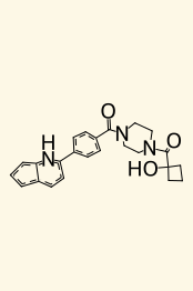 O=C(c1ccc(-c2ccc3cccc-3[nH]2)cc1)N1CCN(C(=O)C2(O)CCC2)CC1